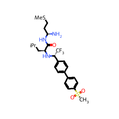 CSCC[C@@H](N)NC(=O)[C@H](CC(C)C)N[C@@H](c1ccc(-c2ccc(S(C)(=O)=O)cc2)cc1)C(F)(F)F